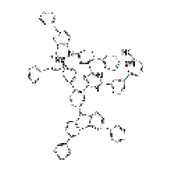 N#Cc1ccc(-c2ccc(-n3c4ccc(-c5ccccc5)cc4c4cc(-c5ccccc5)ccc43)cc2-c2nc(-c3cccc(-c4cccc(C#N)c4)c3)nc(-c3cc(-n4c5ccc(-c6ccccc6)cc5c5cc(-c6ccccc6)ccc54)ccc3-c3ccc(C#N)cc3)n2)cc1